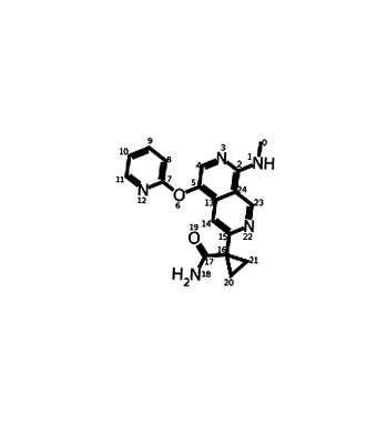 CNc1ncc(Oc2ccccn2)c2cc(C3(C(N)=O)CC3)ncc12